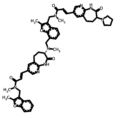 Cc1oc2ccccc2c1CN(C)C(=O)/C=C/c1cnc2c(c1)CC[C@H](N(C)Cc1cccc3c(CN(C)C(=O)/C=C/c4cnc5c(c4)CCC(N4CCCC4)C(=O)N5)c(C)oc13)C(=O)N2